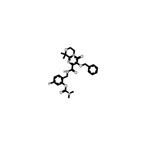 CN(C)C(=O)Oc1cc(F)ccc1CNC(=O)c1nc2n(c(=O)c1OCc1ccccc1)CCOC2(C)C